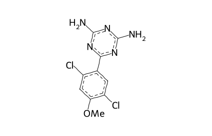 COc1cc(Cl)c(-c2nc(N)nc(N)n2)cc1Cl